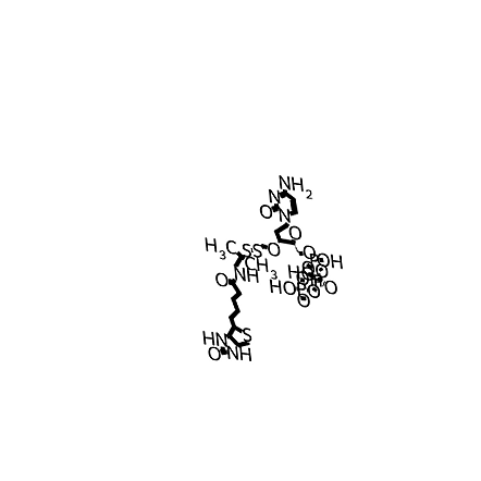 CC(C)(CNC(=O)CCCCC1SCC2NC(=O)NC21)SSCO[C@@H]1C[C@H](n2ccc(N)nc2=O)O[C@@H]1COP(=O)(O)OP(=O)(O)OP(=O)(O)O